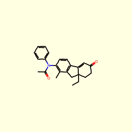 CCC12CCC(=O)C=C1c1ccc(N(C(C)=O)c3ccccc3)c(C)c1C2